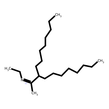 CCCCCCCCC(CCCCCCCC)/C(C)=N\CC